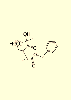 CC(C)C[C@@H](C(=O)C(C)(O)C(=O)O)N(C)C(=O)OCc1ccccc1